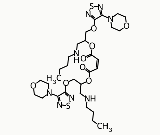 CCCCNCC(COc1nsnc1N1CCOCC1)OC(=O)/C=C\C(=O)OC(CNCCCC)COc1nsnc1N1CCOCC1